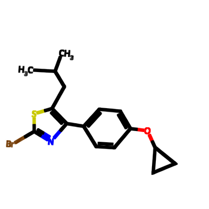 CC(C)Cc1sc(Br)nc1-c1ccc(OC2CC2)cc1